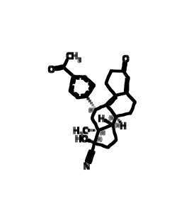 CC(=O)c1ccc([C@H]2C[C@@]3(C)[C@@H](CC[C@]3(O)C#N)[C@@H]3CCC4=CC(=O)CCC4=C32)cc1